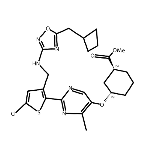 COC(=O)[C@H]1CCC[C@H](Oc2cnc(-c3sc(Cl)cc3CNc3noc(CC4CCC4)n3)nc2C)C1